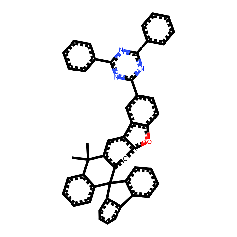 CC1(C)c2ccccc2C2(c3ccccc3-c3ccccc32)c2cc3oc4ccc(-c5nc(-c6ccccc6)nc(-c6ccccc6)n5)cc4c3cc21